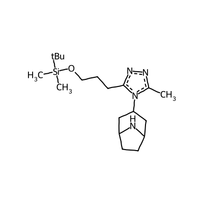 Cc1nnc(CCCO[Si](C)(C)C(C)(C)C)n1C1CC2CCC(C1)N2